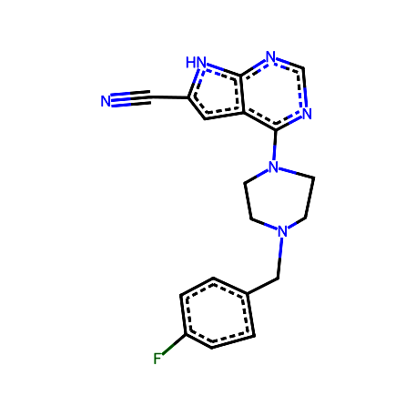 N#Cc1cc2c(N3CCN(Cc4ccc(F)cc4)CC3)ncnc2[nH]1